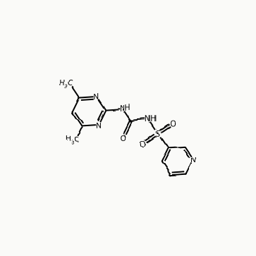 Cc1cc(C)nc(NC(=O)NS(=O)(=O)c2cccnc2)n1